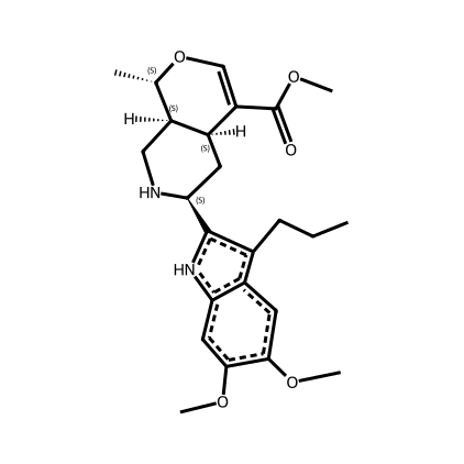 CCCc1c([C@@H]2C[C@@H]3C(C(=O)OC)=CO[C@@H](C)[C@@H]3CN2)[nH]c2cc(OC)c(OC)cc12